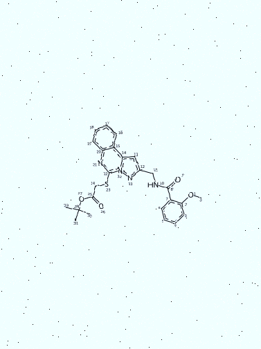 COc1ccccc1C(=O)NCc1cc2c3ccccc3nc(SCC(=O)OC(C)(C)C)n2n1